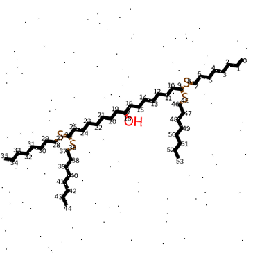 CCCCCCCCSC(CCCCCCCC(O)CCCCCCCC(SCCCCCCCC)SCCCCCCCC)SCCCCCCCC